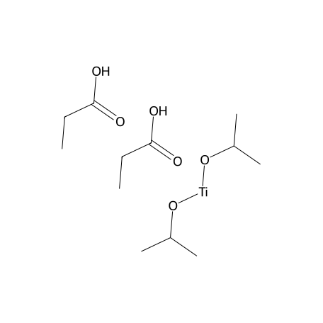 CC(C)[O][Ti][O]C(C)C.CCC(=O)O.CCC(=O)O